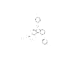 COCc1c(C=NO)ncc2c1c1c(Oc3ccc(Br)cn3)cccc1n2S(=O)(=O)c1ccc(C)cc1